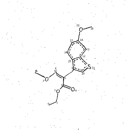 CCOC(=O)C(=NOC)c1csc2cc(OC)ccc12